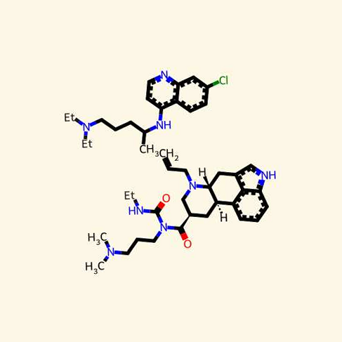 C=CCN1C[C@H](C(=O)N(CCCN(C)C)C(=O)NCC)C[C@@H]2c3cccc4[nH]cc(c34)C[C@H]21.CCN(CC)CCCC(C)Nc1ccnc2cc(Cl)ccc12